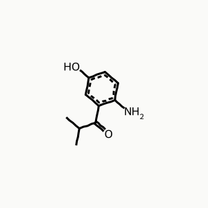 CC(C)C(=O)c1cc(O)ccc1N